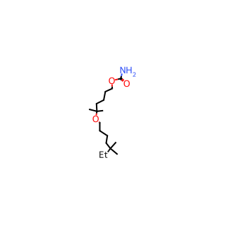 CCC(C)(C)CCCCOC(C)(C)CCCCOC(N)=O